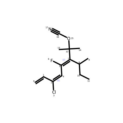 C=C/C(Cl)=C\C(F)=C(/C(C)CC)C(C)(C)OC#N